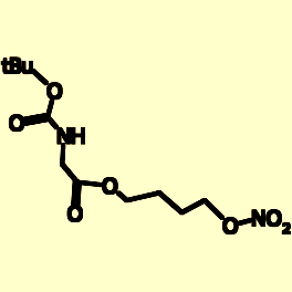 CC(C)(C)OC(=O)NCC(=O)OCCCCO[N+](=O)[O-]